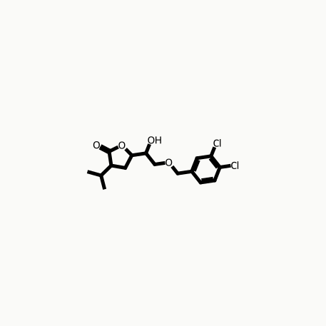 CC(C)C1CC(C(O)COCc2ccc(Cl)c(Cl)c2)OC1=O